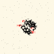 C[C@]12CCC(=O)C=C1[C@@H]1C[C@@H]1[C@H]1[C@@H]3[C@@H]4C[C@@H]4[C@@]4(CCC(=O)O4)[C@@]3(C)CC[C@@H]12.C[C@]12CC[C@@H]3c4ccc(O)cc4CC[C@H]3[C@@H]1CC[C@@H]2O